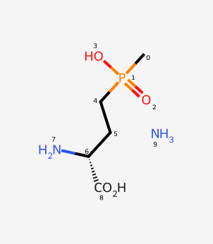 CP(=O)(O)CC[C@@H](N)C(=O)O.N